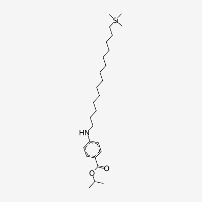 CC(C)OC(=O)c1ccc(NCCCCCCCCCCCCCC[Si](C)(C)C)cc1